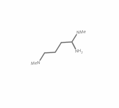 CNCCCC(N)NC